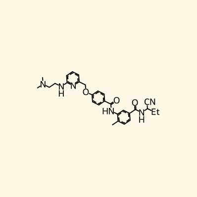 CCC(C#N)NC(=O)c1ccc(C)c(NC(=O)c2ccc(OCc3cccc(NCCN(C)C)n3)cc2)c1